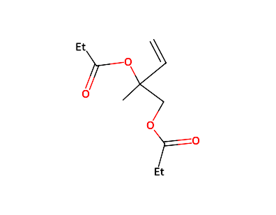 C=CC(C)(COC(=O)CC)OC(=O)CC